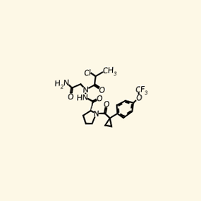 CC(Cl)C(=O)N(CC(N)=O)NC(=O)[C@@H]1CCCN1C(=O)C1(c2ccc(OC(F)(F)F)cc2)CC1